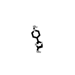 CC(C)(C)c1csc(C2CCN(C(C)(C)C)CC2)n1